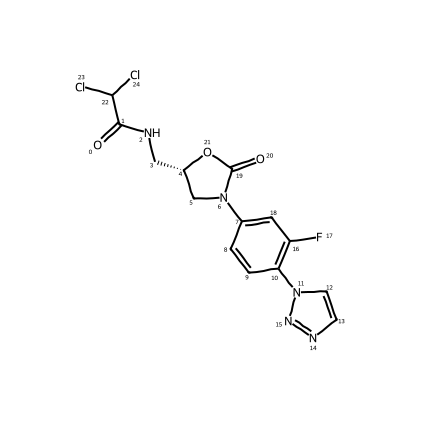 O=C(NC[C@H]1CN(c2ccc(-n3ccnn3)c(F)c2)C(=O)O1)C(Cl)Cl